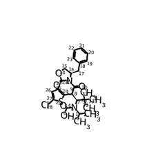 CC(C)N(C(=O)O)[C@@H](C(C(=O)N1C(=O)OC[C@H]1Cc1ccccc1)c1ccc(Cl)s1)C(C)(C)C